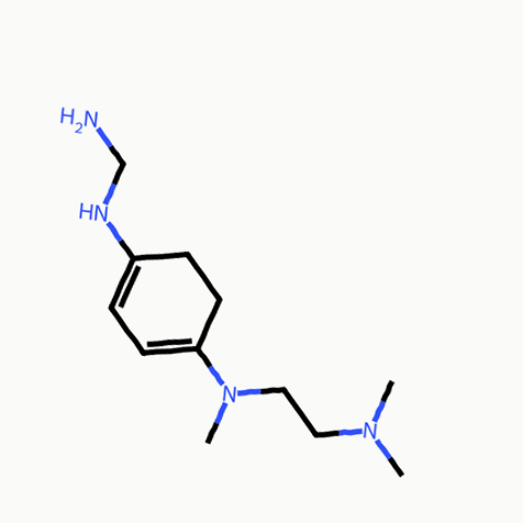 CN(C)CCN(C)C1=CC=C(NCN)CC1